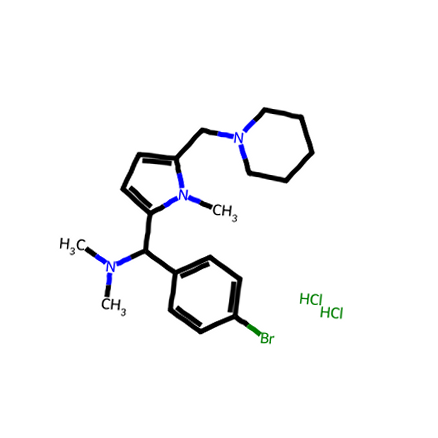 CN(C)C(c1ccc(Br)cc1)c1ccc(CN2CCCCC2)n1C.Cl.Cl